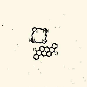 C1=Cc2cc3ccc(cc4nc(cc5ccc(cc1n2)[nH]5)C=C4)[nH]3.O=c1c2ccccc2c2cc3ccc4c(=O)c5ccccc5c5cc6ccc1c2c6c3c45